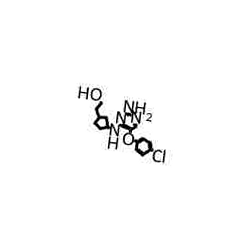 Nc1ncc(Oc2ccc(Cl)cc2)c(NC2CCC(CCO)C2)n1